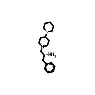 N[C@H](Cc1ccccc1)CN1CCC(N2CCCCC2)CC1